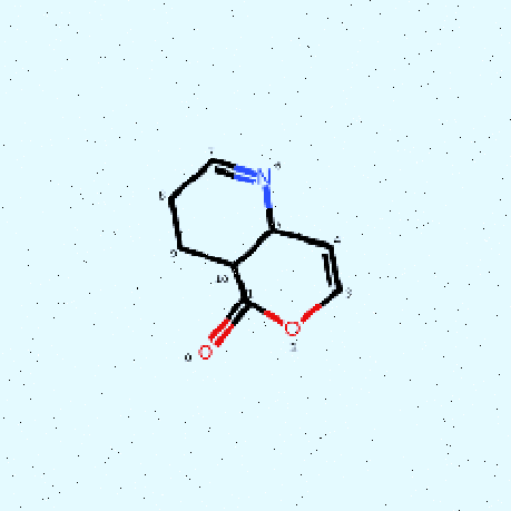 O=C1OC=CC2N=CCCC12